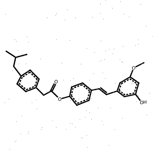 COc1cc(O)cc(/C=C/c2ccc(OC(=O)Cc3ccc(CC(C)C)cc3)cc2)c1